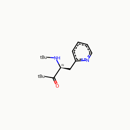 CC(C)(C)N[C@@H](Cc1ccccn1)C(=O)C(C)(C)C